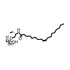 CCCCCCCC/C=C\CCCCCCCC(=O)N[C@@H](CC)CO[PH](O)(O)O